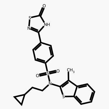 Cc1c(N(CCC2CC2)S(=O)(=O)c2ccc(-c3nsc(=O)[nH]3)cc2)sc2ccccc12